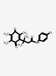 CCc1ccc(NC(=O)CC(C)(C)C2=C(C)C(=O)C(C)=C(C)C2=O)cc1